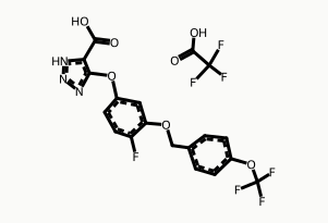 O=C(O)C(F)(F)F.O=C(O)c1[nH]nnc1Oc1ccc(F)c(OCc2ccc(OC(F)(F)F)cc2)c1